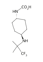 CC(C)(N[C@H]1CC[C@H](NC(=O)O)CC1)C(F)(F)F